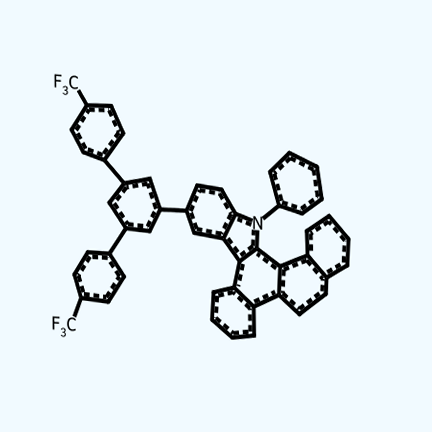 FC(F)(F)c1ccc(-c2cc(-c3ccc(C(F)(F)F)cc3)cc(-c3ccc4c(c3)c3c5ccccc5c5ccc6ccccc6c5c3n4-c3ccccc3)c2)cc1